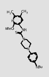 CCCCc1ccc(N2CCN(C(=S)Nc3cc(C)c(C)nc3OC)CC2)cc1